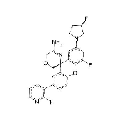 NC1=N[C@@]2(COC1)c1cc(-c3cccnc3F)ccc1Oc1c(F)cc(N3CC[C@@H](F)C3)cc12